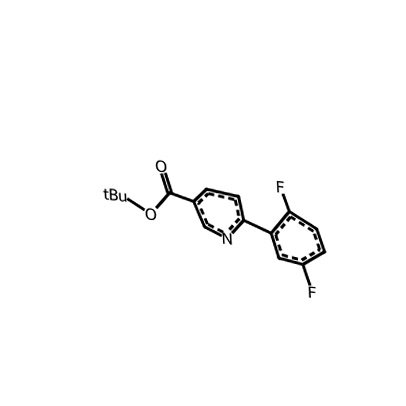 CC(C)(C)OC(=O)c1ccc(-c2cc(F)ccc2F)nc1